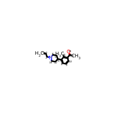 C=CCN1CCC(c2cccc(C(C)=O)c2C)CC1